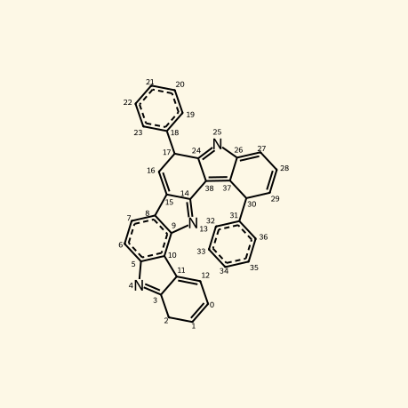 C1=CCC2=Nc3ccc4c(c3C2=C1)N=C1C4=CC(c2ccccc2)C2=NC3=CC=CC(c4ccccc4)C3=C12